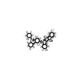 c1ccc(-n2c3ccccc3c3cc(-n4c5ccccc5c5c6sc7ccccc7c6sc54)ccc32)cc1